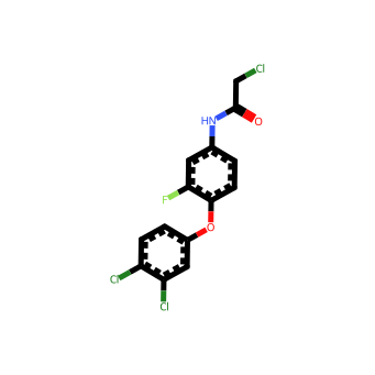 O=C(CCl)Nc1ccc(Oc2ccc(Cl)c(Cl)c2)c(F)c1